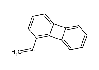 C=[C]c1cccc2c1-c1ccccc1-2